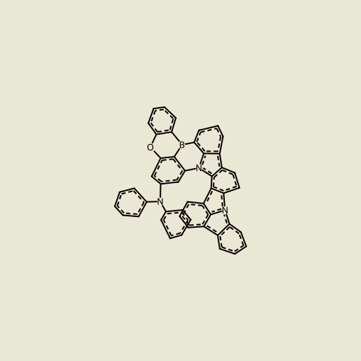 c1ccc(N(c2ccccc2)c2cc3c4c(c2)-n2c5c(cccc5c5ccc6c(c7cccc8c9ccccc9n6c87)c52)B4c2ccccc2O3)cc1